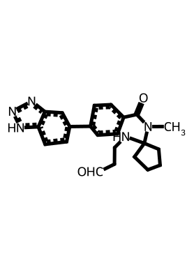 CN(C(=O)c1ccc(-c2ccc3[nH]nnc3c2)cc1)C1(NCCC=O)CCCC1